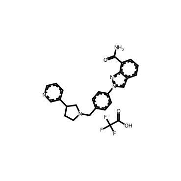 NC(=O)c1cccc2cn(-c3ccc(CN4CCC(c5cccnc5)C4)cc3)nc12.O=C(O)C(F)(F)F